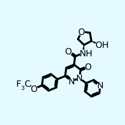 O=C(N[C@H]1COC[C@H]1O)c1cc(-c2ccc(OC(F)(F)F)cc2)nn(-c2cccnc2)c1=O